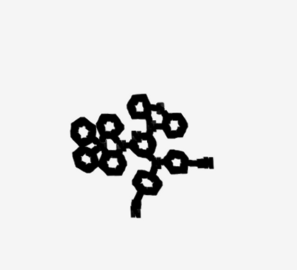 N#Cc1ccc(N(c2ccc(C#N)cc2)c2cc(N3c4ccccc4Sc4ccccc43)nc(N3c4ccccc4[Si](c4ccccc4)(c4ccccc4)c4ccccc43)c2)cc1